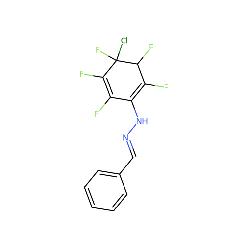 FC1=C(F)C(F)(Cl)C(F)C(F)=C1NN=Cc1ccccc1